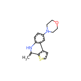 C=C1Nc2ccc(N3CCOCC3)cc2-c2ccsc21